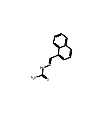 NC(=O)NN=Cc1cccc2ccccc12